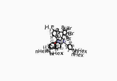 CCCCCCN(CCCCCC)c1ccc(/C(=C/C2(/C=C(\c3ccc(C)cc3)c3ccc(N(CCCCCC)CCCCCC)cc3)OC(=O)c3c(Br)c(Br)c(Br)c(Br)c32)c2ccc(C)cc2)cc1